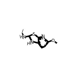 COc1ccc2c(n1)SC(NI)N2